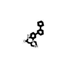 O=C1CC2CNCCN2c2cc(-c3cccc(-c4ccccc4)c3)ccc2N1